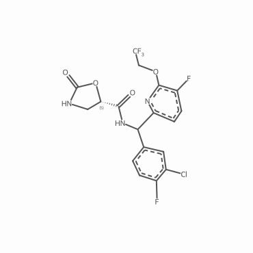 O=C1NC[C@@H](C(=O)NC(c2ccc(F)c(Cl)c2)c2ccc(F)c(OCC(F)(F)F)n2)O1